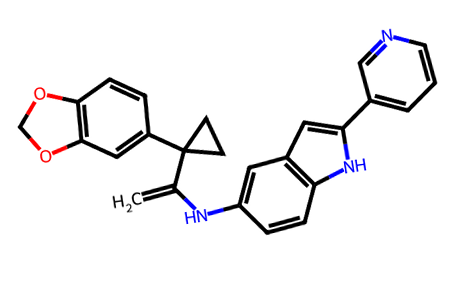 C=C(Nc1ccc2[nH]c(-c3cccnc3)cc2c1)C1(c2ccc3c(c2)OCO3)CC1